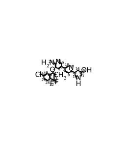 CC(Oc1cc(-c2ccc(C3CNC[C@H](O)C3)nc2)cnc1N)c1cc(Cl)ccc1C(F)(F)F